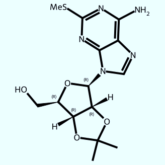 CSc1nc(N)c2ncn([C@@H]3O[C@H](CO)[C@H]4OC(C)(C)O[C@H]43)c2n1